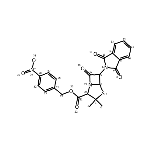 CC1(C)SC2C(N3C(=O)c4ccccc4C3=O)C(=O)N2C1C(=O)OCc1ccc([N+](=O)[O-])cc1